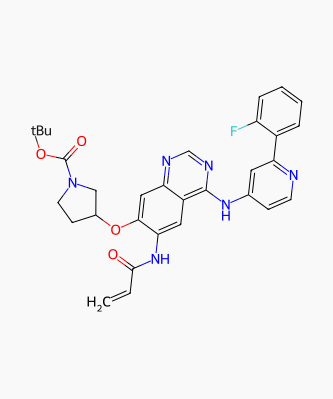 C=CC(=O)Nc1cc2c(Nc3ccnc(-c4ccccc4F)c3)ncnc2cc1OC1CCN(C(=O)OC(C)(C)C)C1